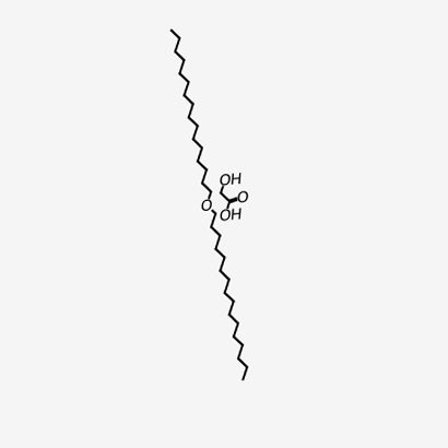 CCCCCCCCCCCCCCCCOCCCCCCCCCCCCCCCC.O=C(O)CO